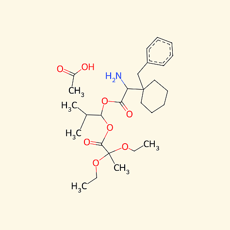 CC(=O)O.CCOC(C)(OCC)C(=O)OC(OC(=O)C(N)C1(Cc2ccccc2)CCCCC1)C(C)C